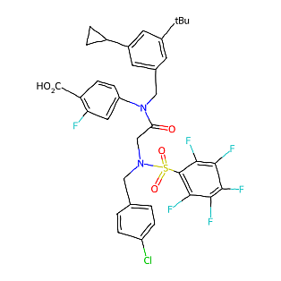 CC(C)(C)c1cc(CN(C(=O)CN(Cc2ccc(Cl)cc2)S(=O)(=O)c2c(F)c(F)c(F)c(F)c2F)c2ccc(C(=O)O)c(F)c2)cc(C2CC2)c1